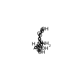 Cc1ccc(N=Nc2c(C(=O)O)cc(N)c(N=Nc3ccc(SOC(=O)CSOOO)cc3)c2N)c(SOOO)c1